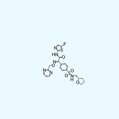 O=C(Nc1ncc(F)s1)/C(=N/OCc1ncccn1)c1ccc(S(=O)(=O)NC[C@H]2CCCO2)cc1